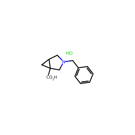 Cl.O=C(O)C12CC1CN(Cc1ccccc1)C2